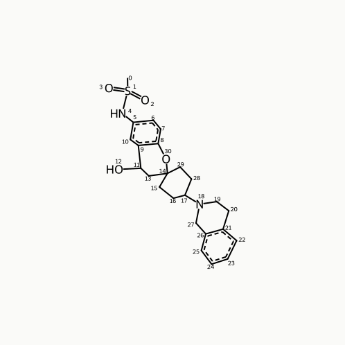 CS(=O)(=O)Nc1ccc2c(c1)C(O)CC1(CCC(N3CCc4ccccc4C3)CC1)O2